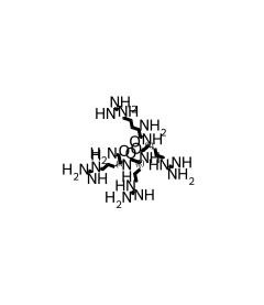 N=C(N)NCCCC(N)C(=O)N[C@H](CCCNC(=N)N)C(=O)N[C@H](CCCNC(=N)N)C(=O)N[C@H](CCCNC(=N)N)C(N)=O